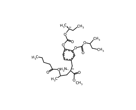 CCCCC(=O)OC(C)C[C@@](N)(Cc1ccc(OC(=O)O[C@@H](C)CC)c(OC(=O)OC(C)CC)c1)C(=O)OC